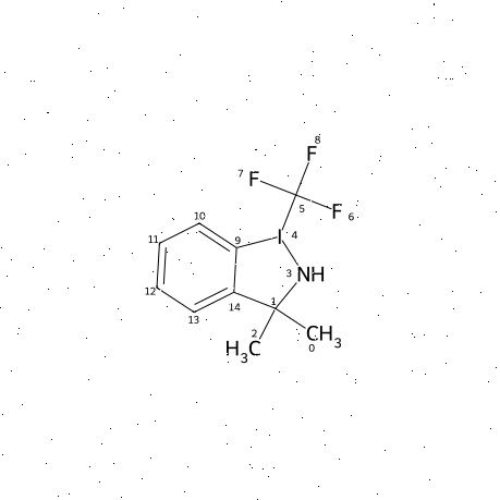 CC1(C)NI(C(F)(F)F)c2ccccc21